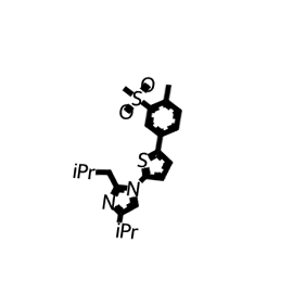 Cc1ccc(-c2ccc(-n3cc(C(C)C)nc3CC(C)C)s2)cc1S(C)(=O)=O